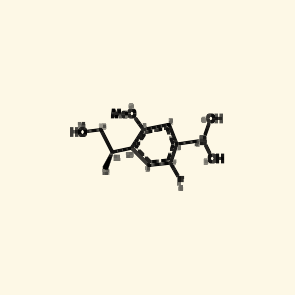 COc1cc(B(O)O)c(F)cc1[C@@H](C)CO